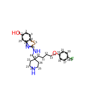 Oc1ccc2sc(NCC3(CCCCOc4ccc(F)cc4)CCNCC3)nc2c1